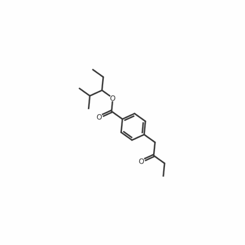 CCC(=O)Cc1ccc(C(=O)OC(CC)C(C)C)cc1